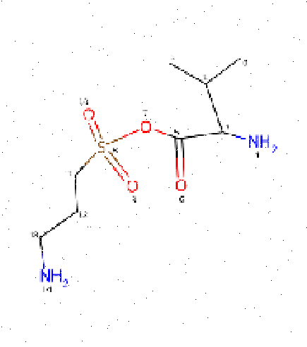 CC(C)C(N)C(=O)OS(=O)(=O)CCCN